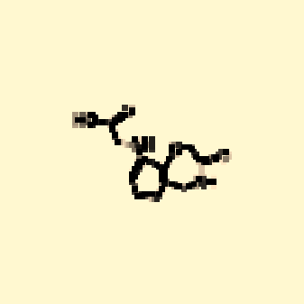 O=C(O)CNc1cccc2c1OCC(=O)NC2